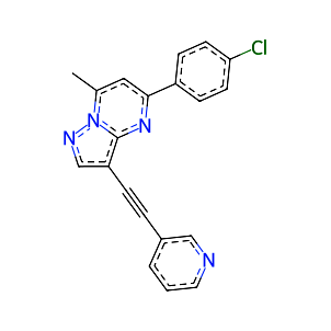 Cc1cc(-c2ccc(Cl)cc2)nc2c(C#Cc3cccnc3)cnn12